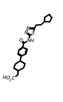 O=C(O)CC1CCC(c2ccc(C(=O)Nc3nnc(CCC4CCCC4)s3)cc2)CC1